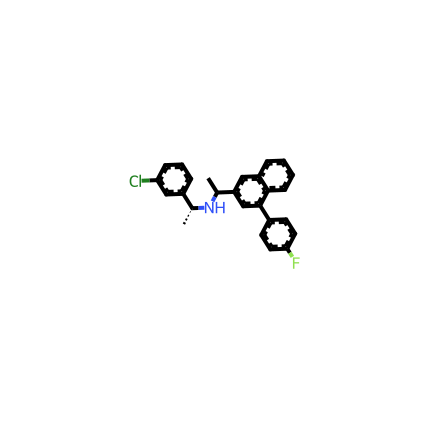 CC(N[C@H](C)c1cccc(Cl)c1)c1cc(-c2ccc(F)cc2)c2ccccc2c1